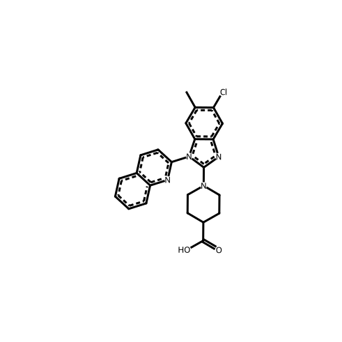 Cc1cc2c(cc1Cl)nc(N1CCC(C(=O)O)CC1)n2-c1ccc2ccccc2n1